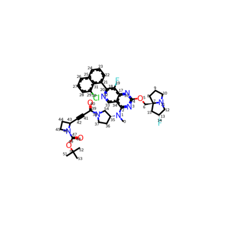 CN(c1nc(OC[C@@]23CCCN2C[C@H](F)C3)nc2c(F)c(-c3cccc4cccc(Cl)c34)ncc12)[C@@H]1CCN(C(=O)C#CC2CCN2C(=O)OC(C)(C)C)C1